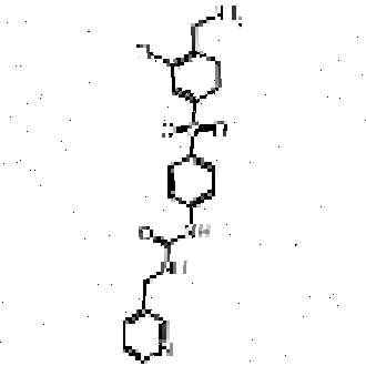 NCc1ccc(S(=O)(=O)c2ccc(NC(=O)NCc3cccnc3)cc2)cc1Cl